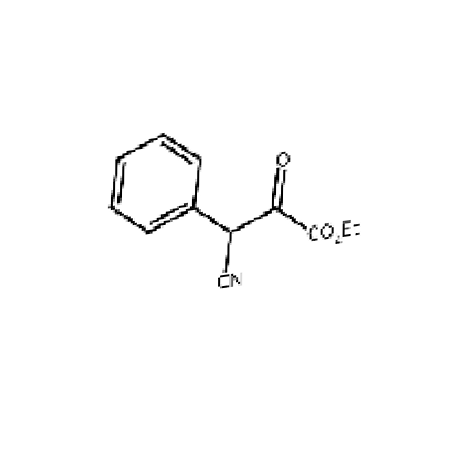 CCOC(=O)C(=O)C(C#N)c1ccccc1